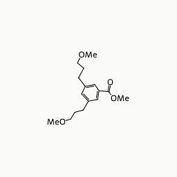 COCCCc1cc(CCCOC)cc(C(=O)OC)c1